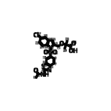 CC(=O)Nc1nc2ccc(S(=O)(=O)n3c(COC(C)(C)C(=O)O)cc4cc(Cl)ccc43)cc2s1